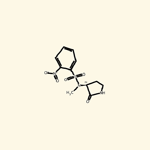 CN([C@H]1CCNC1=O)S(=O)(=O)c1ccccc1[N+](=O)[O-]